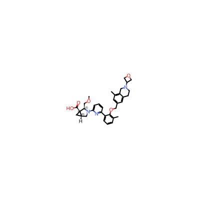 COC[C@H]1N(c2cccc(-c3cccc(C)c3OCc3cc(C)c4c(c3)CCN(C3COC3)C4)n2)C[C@@H]2C[C@@]21C(=O)O